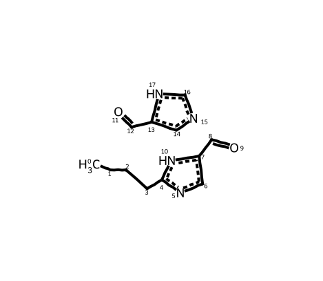 CCCCc1ncc(C=O)[nH]1.O=Cc1cnc[nH]1